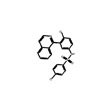 O=S(=O)(Nc1ccc(Cl)c(-c2nccc3ccccc23)c1)c1ccc(Cl)cc1